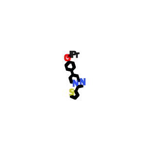 CC(C)Oc1ccc(-c2ccn3c(C4=C=C=CS4)cnc3c2)cc1